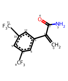 C=C(C(N)=O)c1cc(C(F)(F)F)cc(C(F)(F)F)c1